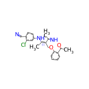 CC(=N)/C(COc1ccccc1C(C)=O)=C(/C)Nc1ccc(C#N)c(Cl)c1